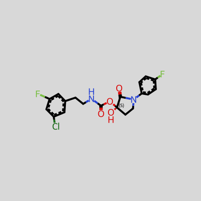 O=C(NCCc1cc(F)cc(Cl)c1)O[C@@]1(O)CCN(c2ccc(F)cc2)C1=O